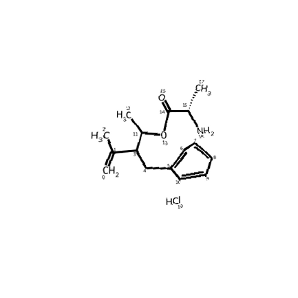 C=C(C)C(Cc1ccccc1)C(C)OC(=O)[C@H](C)N.Cl